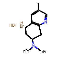 Br.Br.CCCN(CCC)C1CCc2cc(C)cnc2C1